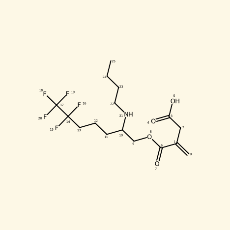 C=C(CC(=O)O)C(=O)OCC(CCCC(F)(F)C(F)(F)F)NCCCC